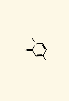 [CH2]n1ccc(F)cc1=N